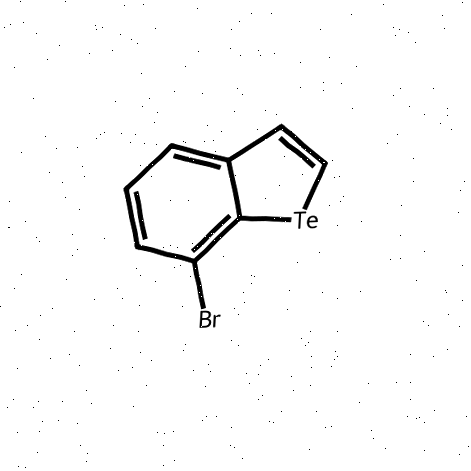 Brc1cccc2cc[te]c12